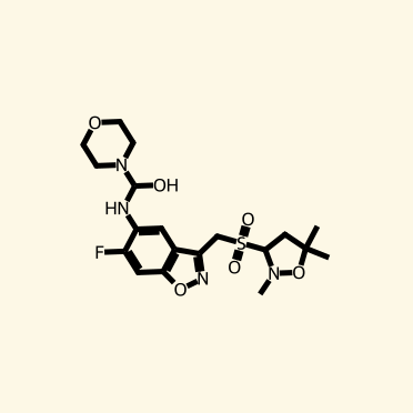 CN1OC(C)(C)CC1S(=O)(=O)Cc1noc2cc(F)c(NC(O)N3CCOCC3)cc12